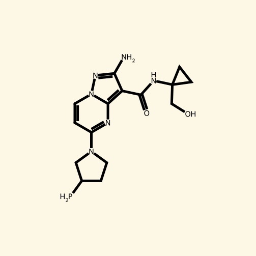 Nc1nn2ccc(N3CCC(P)C3)nc2c1C(=O)NC1(CO)CC1